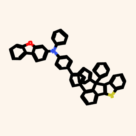 c1ccc(N(c2ccc(-c3ccc(-c4cccc5c4C(c4ccccc4)(c4ccccc4)c4c-5sc5ccccc45)cc3)cc2)c2ccc3c(c2)oc2ccccc23)cc1